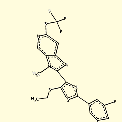 CCSc1sc(-c2cc(F)cc(F)c2)nc1-c1nc2cc(SC(F)(F)F)ncc2n1C